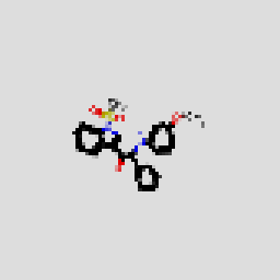 COc1cccc(NC(C(=O)c2cn(S(C)(=O)=O)c3ccccc23)c2ccccc2)c1